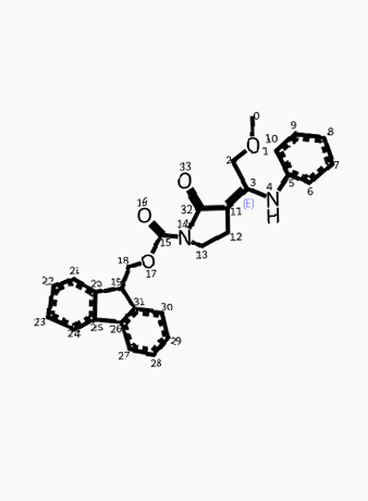 COC/C(Nc1ccccc1)=C1/CCN(C(=O)OCC2c3ccccc3-c3ccccc32)C1=O